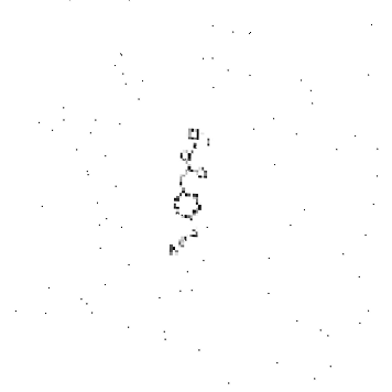 CCOC(=O)Cc1ccc(SC#N)cc1